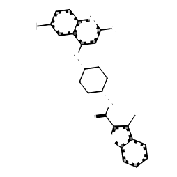 Cc1c(C(=O)N[C@H]2CC[C@@H](Nc3cc(C(F)(F)F)nc4ccc(Cl)cc34)CC2)oc2ccccc12